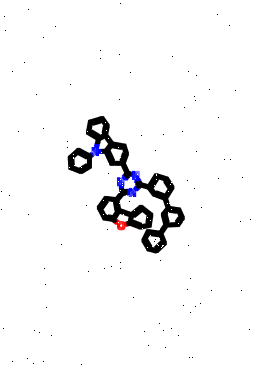 c1ccc(-c2cccc(-c3cccc(-c4nc(-c5ccc6c7ccccc7n(-c7ccccc7)c6c5)nc(-c5cccc6oc7ccccc7c56)n4)c3)c2)cc1